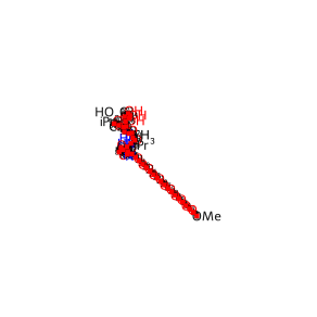 COCCOCCOCCOCCOCCOCCOCCOCCOCCOCCOCCOCCn1cc([C@@H](CC(=O)NC(C(=O)N[C@@H](C)C(=O)Nc2ccc(COC(=O)C(C)C(C)C)c(CC[C@@H]3O[C@H](C(=O)O)[C@@H](O)[C@H](O)[C@H]3O)c2)C(C)C)N2C(=O)C=CC2=O)nn1